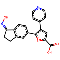 O=C(O)c1cc(-c2ccncc2)c(-c2ccc3c(c2)CC/C3=N/O)o1